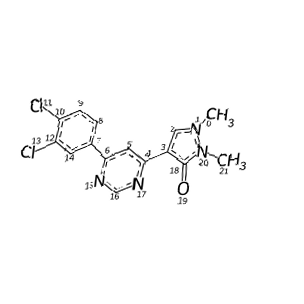 Cn1cc(-c2cc(-c3ccc(Cl)c(Cl)c3)ncn2)c(=O)n1C